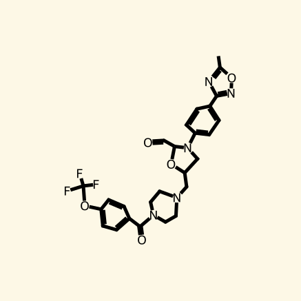 Cc1nc(-c2ccc(N3CC(CN4CCN(C(=O)c5ccc(OC(F)(F)F)cc5)CC4)OC3C=O)cc2)no1